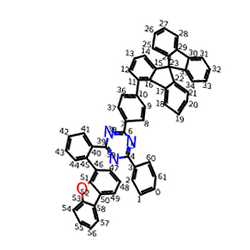 c1ccc(-c2nc(-c3ccc(-c4cccc5c4-c4ccccc4C54c5ccccc5-c5ccccc54)cc3)nc(-c3ccccc3-c3cccc4c3oc3ccccc34)n2)cc1